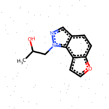 CC(O)Cn1ncc2ccc3occc3c21